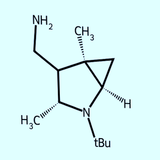 C[C@@H]1C(CN)[C@@]2(C)C[C@H]2N1C(C)(C)C